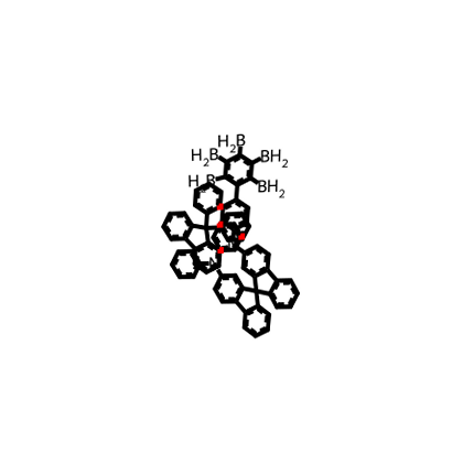 Bc1c(B)c(B)c(-c2ccc(N(c3ccc4c(c3)C3(c5ccccc5-c5ccc(N(c6ccccc6)c6ccccc6)cc53)c3ccccc3-4)c3cccc4c3C(c3ccccc3)(c3ccccc3)c3ccccc3-4)cc2)c(B)c1B